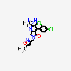 Cc1cc(CN2Cc3nc(C)c(CN)c(-c4ccc(Cl)cc4Cl)c3C2=O)no1